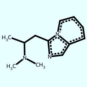 CC(Cc1ncc2ccccn12)N(C)C